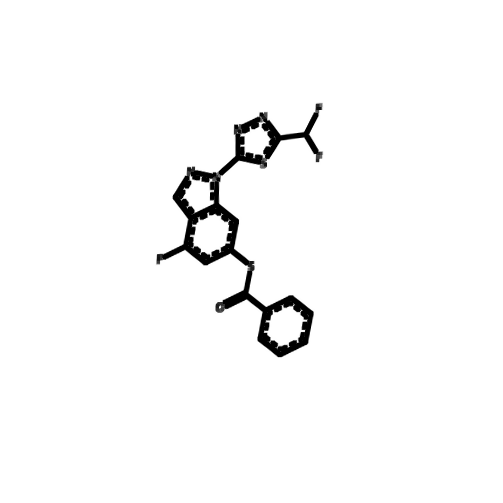 O=C(Sc1cc(F)c2cnn(-c3nnc(C(F)F)s3)c2c1)c1ccccc1